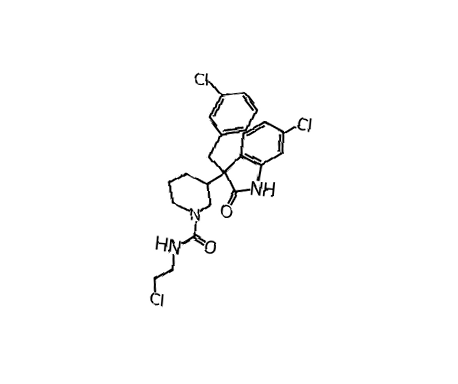 O=C(NCCCl)N1CCCC(C2(Cc3cccc(Cl)c3)C(=O)Nc3cc(Cl)ccc32)C1